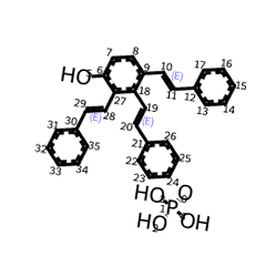 O=P(O)(O)O.Oc1ccc(/C=C/c2ccccc2)c(/C=C/c2ccccc2)c1/C=C/c1ccccc1